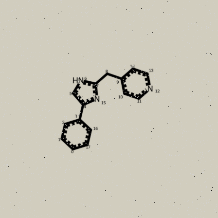 c1ccc(-c2c[nH]c(Cc3ccncc3)n2)cc1